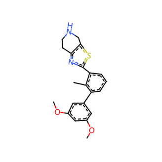 COc1cc(OC)cc(-c2cccc(-c3nc4c(s3)CNCC4)c2C)c1